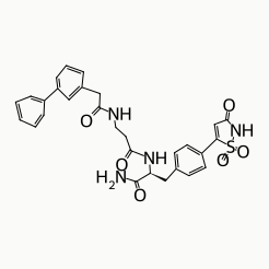 NC(=O)[C@H](Cc1ccc(C2=CC(=O)NS2(=O)=O)cc1)NC(=O)CCNC(=O)Cc1cccc(-c2ccccc2)c1